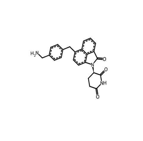 NCc1ccc(Cc2ccc3c4c(cccc24)C(=O)N3[C@@H]2CCC(=O)NC2=O)cc1